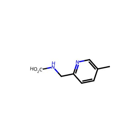 Cc1ccc(CNC(=O)O)nc1